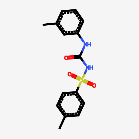 Cc1ccc(S(=O)(=O)NC(=O)Nc2cccc(C)c2)cc1